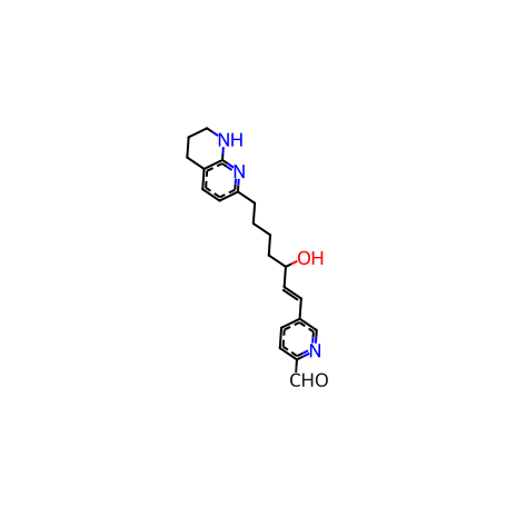 O=Cc1ccc(/C=C/C(O)CCCCc2ccc3c(n2)NCCC3)cn1